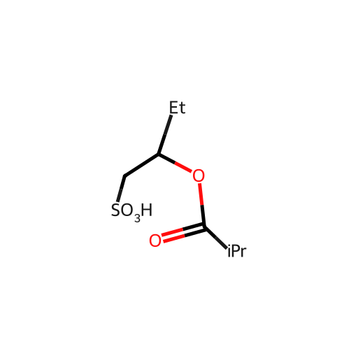 CCC(CS(=O)(=O)O)OC(=O)C(C)C